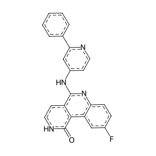 O=c1[nH]ccc2c(Nc3ccnc(-c4ccccc4)c3)nc3ccc(F)cc3c12